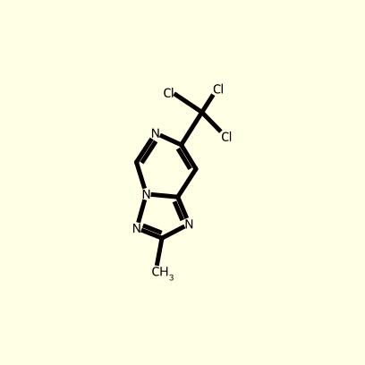 Cc1nc2cc(C(Cl)(Cl)Cl)ncn2n1